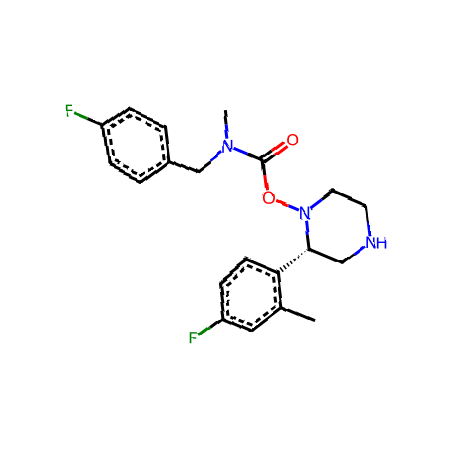 Cc1cc(F)ccc1[C@H]1CNCCN1OC(=O)N(C)Cc1ccc(F)cc1